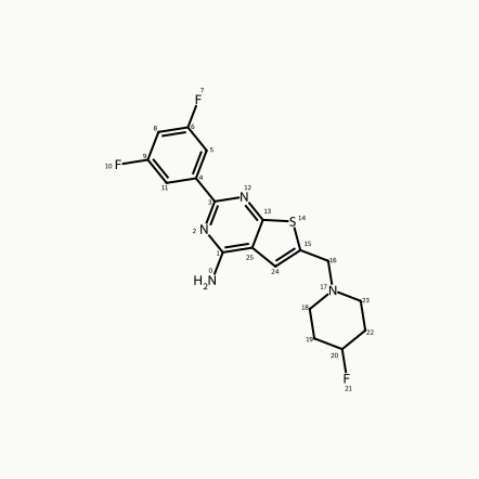 Nc1nc(-c2cc(F)cc(F)c2)nc2sc(CN3CCC(F)CC3)cc12